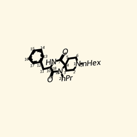 CCCCCCN1CCC2(CC1)C(=O)NC(Cc1ccccc1)C(=O)N2CCC